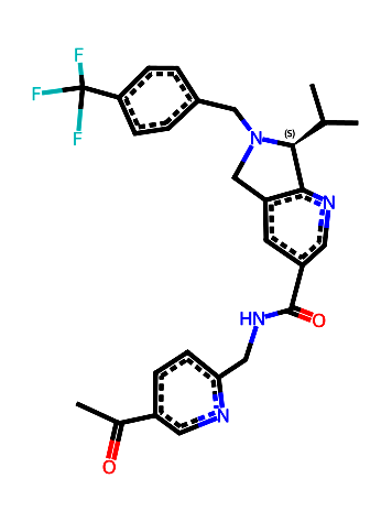 CC(=O)c1ccc(CNC(=O)c2cnc3c(c2)CN(Cc2ccc(C(F)(F)F)cc2)[C@H]3C(C)C)nc1